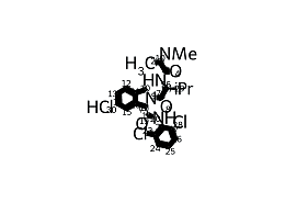 CN[C@@H](C)C(=O)N[C@H](C(=O)N1Cc2ccccc2[C@H]1C(=O)Nc1c(Cl)cccc1Cl)C(C)C.Cl